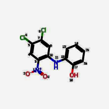 O=[N+]([O-])c1cc(Cl)c(Cl)cc1Nc1ccccc1O